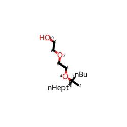 CCCCCCCC(C)(CCCC)OCCOCCO